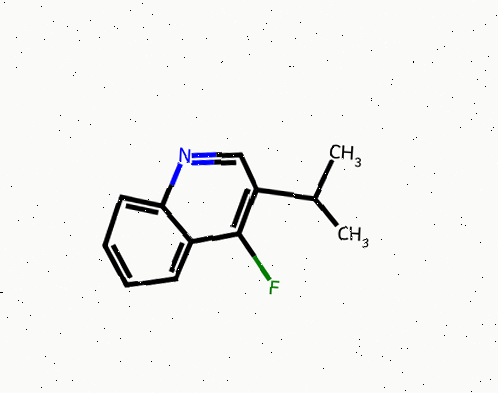 CC(C)c1cnc2ccccc2c1F